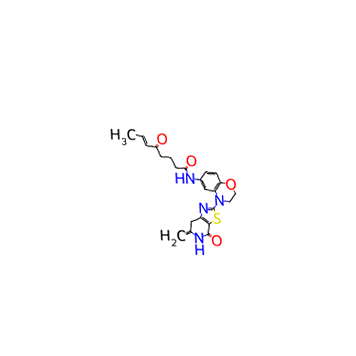 C=C1Cc2nc(N3CCOc4ccc(NC(=O)CCCC(=O)/C=C/C)cc43)sc2C(=O)N1